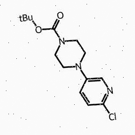 CC(C)(C)OC(=O)N1CCN(c2ccc(Cl)nc2)CC1